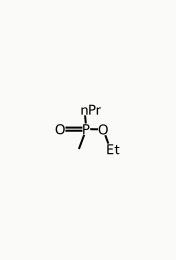 CCCP(C)(=O)OCC